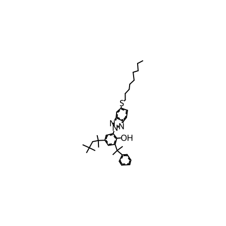 CCCCCCCCCSc1ccc2nn(-c3cc(C(C)(C)CC(C)(C)C)cc(C(C)(C)c4ccccc4)c3O)nc2c1